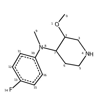 COC1CNCCC1N(C)c1ccc(F)cc1